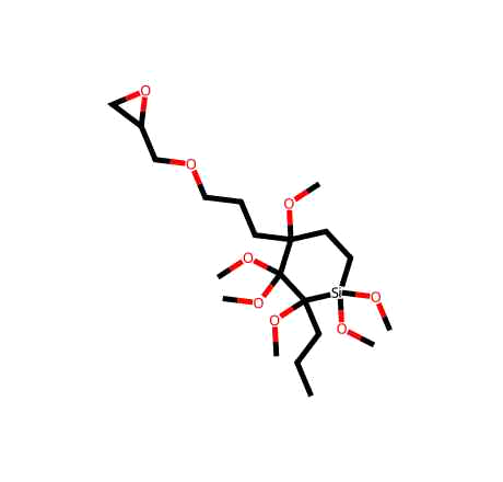 CCCC1(OC)C(OC)(OC)C(CCCOCC2CO2)(OC)CC[Si]1(OC)OC